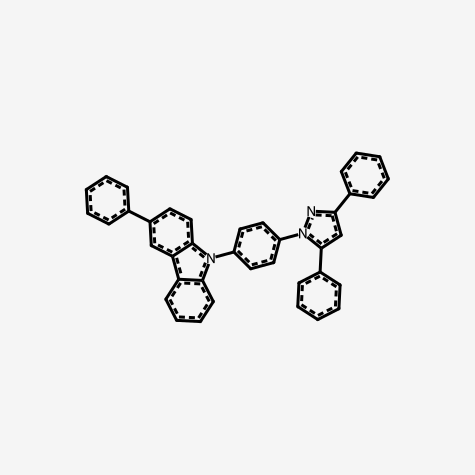 c1ccc(-c2ccc3c(c2)c2ccccc2n3-c2ccc(-n3nc(-c4ccccc4)cc3-c3ccccc3)cc2)cc1